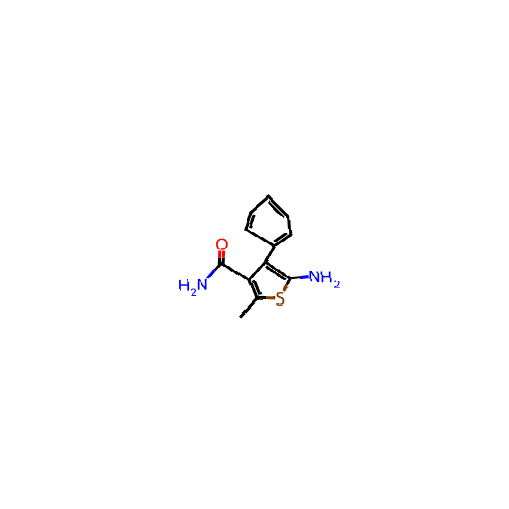 Cc1sc(N)c(-c2ccccc2)c1C(N)=O